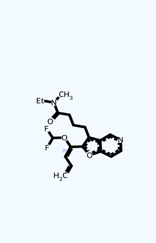 C=C/C=C(/OC(F)F)c1oc2ccncc2c1CCCC(=O)N(C)CC